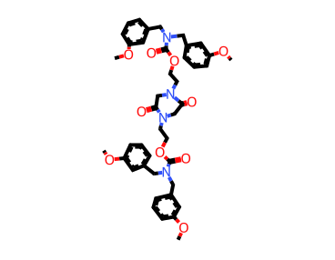 COc1cccc(CN(Cc2cccc(OC)c2)C(=O)OCCN2CC(=O)N(CCOC(=O)N(Cc3cccc(OC)c3)Cc3cccc(OC)c3)CC2=O)c1